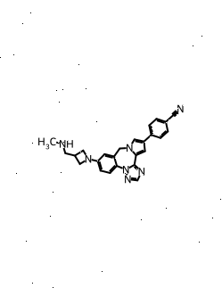 CNCC1CN(c2ccc3c(c2)Cn2cc(-c4ccc(C#N)cc4)cc2-c2ncnn2-3)C1